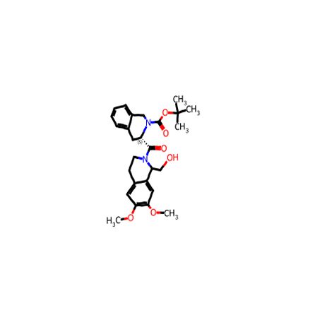 COc1cc2c(cc1OC)C(CO)N(C(=O)[C@@H]1Cc3ccccc3CN1C(=O)OC(C)(C)C)CC2